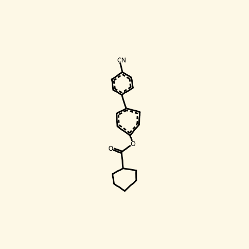 N#Cc1ccc(-c2ccc(OC(=O)C3CCCCC3)cc2)cc1